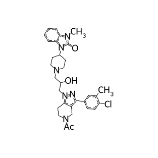 CC(=O)N1CCc2c(c(-c3ccc(Cl)c(C)c3)nn2CC(O)CN2CCC(n3c(=O)n(C)c4ccccc43)CC2)C1